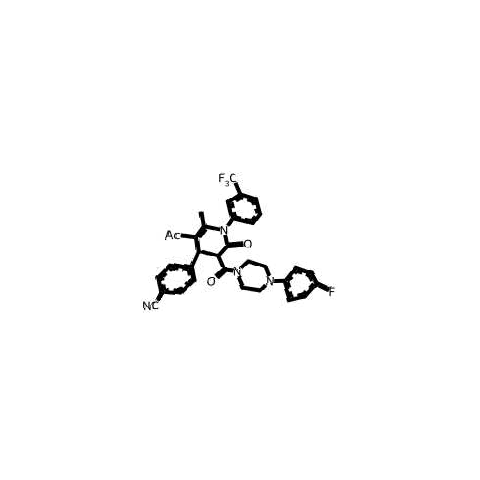 CC(=O)C1=C(C)N(c2cccc(C(F)(F)F)c2)C(=O)C(C(=O)N2CCN(c3ccc(F)cc3)CC2)C1c1ccc(C#N)cc1